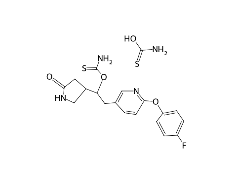 NC(=S)OC(Cc1ccc(Oc2ccc(F)cc2)nc1)C1CNC(=O)C1.NC(O)=S